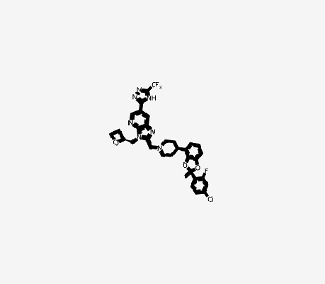 CC1(c2ccc(Cl)cc2F)Oc2cccc(C3CCN(Cc4nc5cc(-c6nnc(C(F)(F)F)[nH]6)cnc5n4C[C@@H]4CCO4)CC3)c2O1